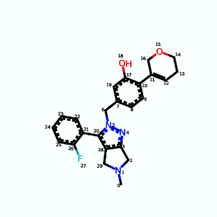 CN1Cc2nn(Cc3ccc(C4=CCCOC4)c(O)c3)c(-c3ccccc3F)c2C1